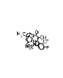 CC(C(=O)N1C2CC3(C)CC1CC(O)(C2)C3)c1nn(C)c2ccc(F)c(Cl)c12